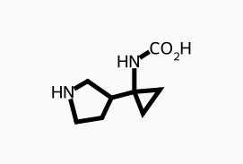 O=C(O)NC1(C2CCNC2)CC1